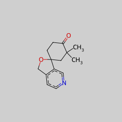 CC1(C)CC2(CCC1=O)OCc1ccncc12